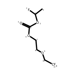 CC(F)OC(=O)OCCOCC(F)(F)F